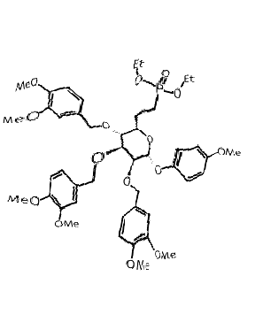 CCOP(=O)(CC[C@H]1O[C@H](Oc2ccc(OC)cc2)[C@@H](OCc2ccc(OC)c(OC)c2)[C@@H](OCc2ccc(OC)c(OC)c2)[C@@H]1OCc1ccc(OC)c(OC)c1)OCC